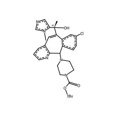 Cn1cncc1[C@](C)(O)C1=Cc2cccnc2C(N2CCN(C(=O)OC(C)(C)C)CC2)c2ccc(Cl)cc21